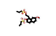 CCCS(=O)(=O)OCCc1c(OS(=O)(=O)CCC)ccc2ccc(OC)cc12